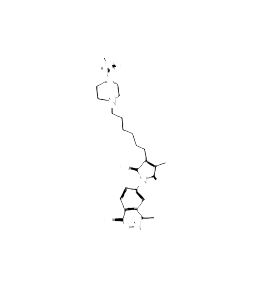 CC1=C(CCCCCCN2CCN(S(C)(=O)=O)CC2)C(=O)N(c2ccc3c(=O)onc(C)c3c2)C1=O